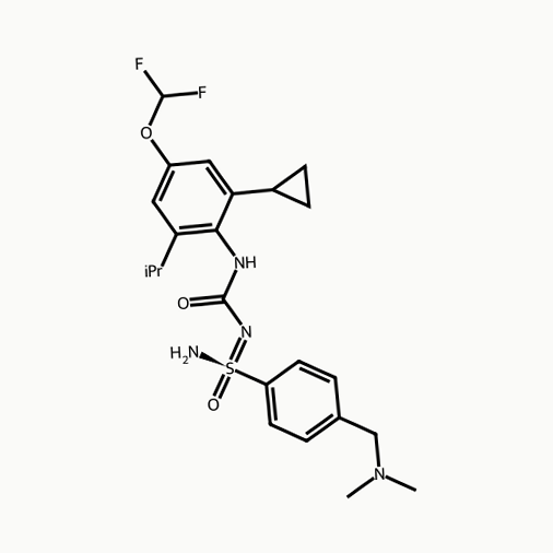 CC(C)c1cc(OC(F)F)cc(C2CC2)c1NC(=O)N=[S@@](N)(=O)c1ccc(CN(C)C)cc1